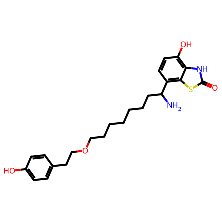 NC(CCCCCCCOCCc1ccc(O)cc1)c1ccc(O)c2[nH]c(=O)sc12